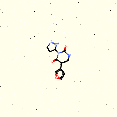 O=C1NCC(c2ccoc2)C(=O)N1C1CCNN1